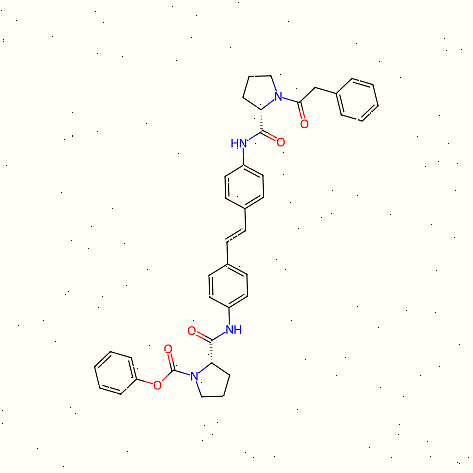 O=C(Nc1ccc(/C=C/c2ccc(NC(=O)[C@@H]3CCCN3C(=O)Oc3ccccc3)cc2)cc1)[C@@H]1CCCN1C(=O)Cc1ccccc1